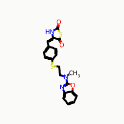 CN(CCSc1ccc(C=C2NC(=O)SC2=O)cc1)c1nc2ccccc2o1